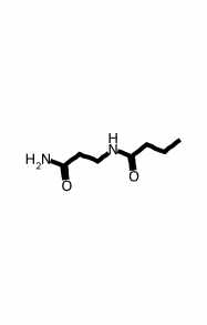 CCCC(=O)NCCC(N)=O